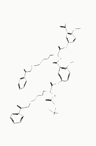 COc1ccc(NC(=O)[C@H](CCCCNCC(=O)c2ccccc2)NC(=O)c2cc(NC(=O)[C@H](CCCCNCC(=O)c3ccccc3)NC(=O)OC(C)(C)C)ccc2OC)cc1C(=O)O